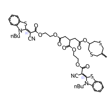 C=C1CSCC(OC(=O)CC(CC(=O)OCCOC(=O)/C(C#N)=C2\Sc3ccccc3N2CCCC)C(=O)OCCOC(=O)/C(C#N)=C2\Sc3ccccc3N2CCCC)CSC1